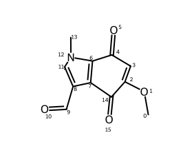 COC1=CC(=O)c2c(c(C=O)[c]n2C)C1=O